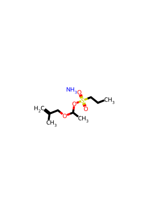 C=C(C)COC(C)OS(=O)(=O)CCC.N